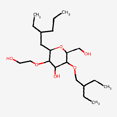 CCCC(CC)CC1OC(CO)C(OCC(CC)CC)C(O)C1OCCO